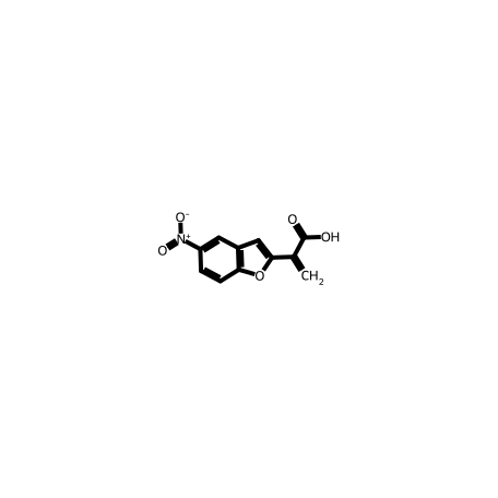 C=C(C(=O)O)c1cc2cc([N+](=O)[O-])ccc2o1